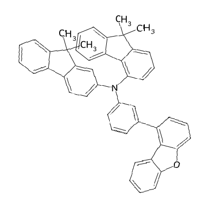 CC1(C)c2ccccc2-c2ccc(N(c3cccc(-c4cccc5oc6ccccc6c45)c3)c3cccc4c3-c3ccccc3C4(C)C)cc21